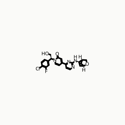 O=c1cc(-c2ccnc(N[C@@H]3C[C@H]4C[C@@H]3CO4)n2)ccn1[C@H](CO)c1ccc(Cl)c(F)c1